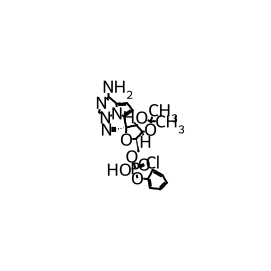 CC1(C)O[C@H]2[C@@H](O1)[C@](C#N)(c1ccc3c(N)ncnn13)O[C@@H]2COP(=O)(O)Oc1ccccc1Cl